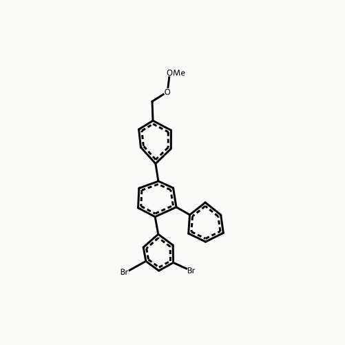 COOCc1ccc(-c2ccc(-c3cc(Br)cc(Br)c3)c(-c3ccccc3)c2)cc1